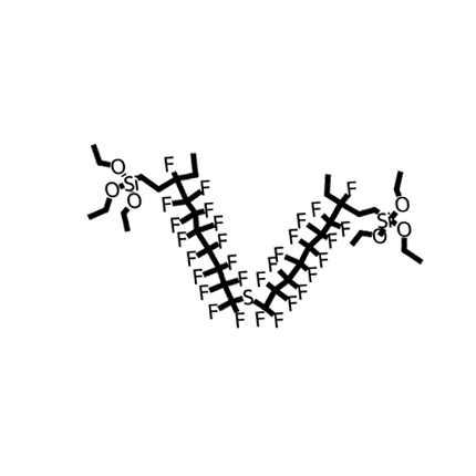 CCO[Si](CCC(F)(CC)C(F)(F)C(F)(F)C(F)(F)C(F)(F)C(F)(F)C(F)(F)C(F)(F)SC(F)(F)C(F)(F)C(F)(F)C(F)(F)C(F)(F)C(F)(F)C(F)(F)C(F)(CC)CC[Si](OCC)(OCC)OCC)(OCC)OCC